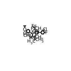 COc1cc(C(=O)NCC(C)(c2cc(C(C)(C)NC(C)C)cc(-c3ccc(F)c(Cl)c3)n2)C(F)(F)F)ccc1OC1CC1